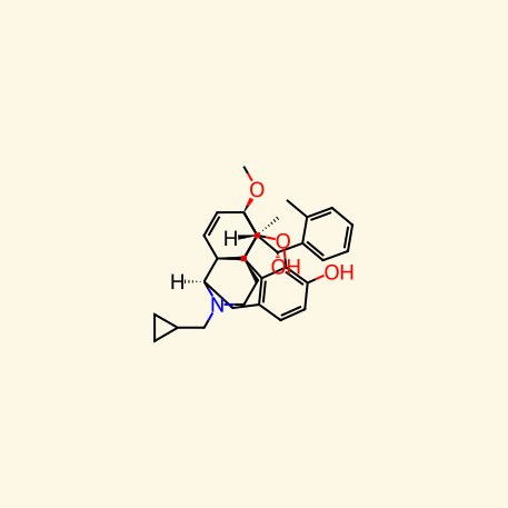 CO[C@]12C=C[C@@]3(C[C@]1(C)[C@@H](O)c1ccccc1C)[C@H]1Cc4ccc(O)c5c4[C@@]3(CCN1CC1CC1)[C@H]2O5